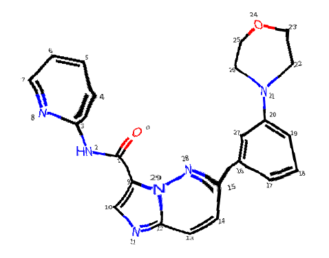 O=C(Nc1ccccn1)c1cnc2ccc(-c3cccc(N4CCOCC4)c3)nn12